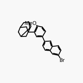 COc1ccc(-c2ccc3cc(Br)ccc3c2)cc1C12CC3CC(CC(C3)C1)C2